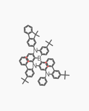 Cc1cc2c3c(c1)N(c1ccc(C(C)(C)C)cc1-c1ccccc1)c1cc(N(c4ccccc4)c4ccc(C(C)(C)C)cc4-c4ccccc4)ccc1B3c1ccc(C(C)(C)C)cc1N2c1ccc2c(c1)C(C)(C)c1ccccc1-2